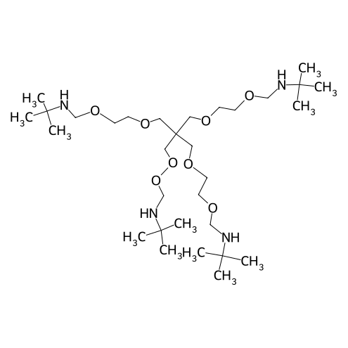 CC(C)(C)NCOCCOCC(COCCOCNC(C)(C)C)(COCCOCNC(C)(C)C)COOCNC(C)(C)C